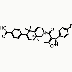 Cc1onc(-c2ccc(F)cc2)c1C(=O)N1CC=C2C(C)(C)C(c3ccc(C(=O)O)cc3)=CC[C@]2(C)C1